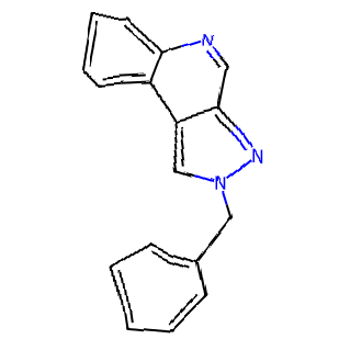 c1ccc(Cn2cc3c(cnc4ccccc43)n2)cc1